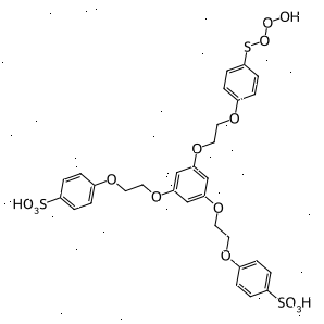 O=S(=O)(O)c1ccc(OCCOc2cc(OCCOc3ccc(SOOO)cc3)cc(OCCOc3ccc(S(=O)(=O)O)cc3)c2)cc1